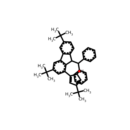 CC1C=C(C(C)(C)C)C=C1c1cc(C(C)(C)C)cc2c1C(C(c1ccccc1)c1ccccc1)c1ccc(C(C)(C)C)cc1-2